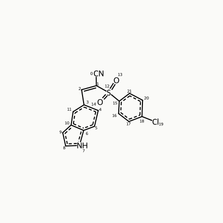 N#CC(=Cc1ccc2[nH]ccc2c1)S(=O)(=O)c1ccc(Cl)cc1